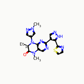 CC[C@@H]1C(=O)N(C)c2cnc(-c3cn[nH]c3-c3nccs3)nc2N1c1cnn(C)c1